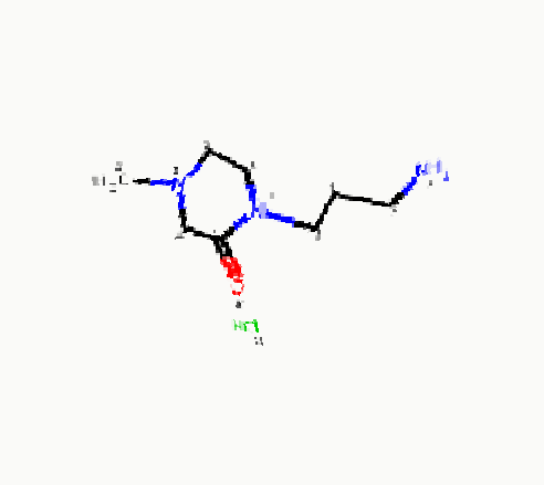 CN1CCN(CCCN)C(=O)C1.Cl